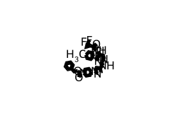 CC1CCN(c2nc(Nc3cnn(C4CCN(C(=O)OCc5ccccc5)CC4)c3)ncc2Cl)[C@H](NC(=O)C2CC2(F)F)C1